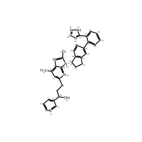 CCc1nc2c(C)cc(CCC(O)c3cccnc3)nc2n1[C@H]1CCc2cc(-c3ccccc3-c3nnn[nH]3)ccc21